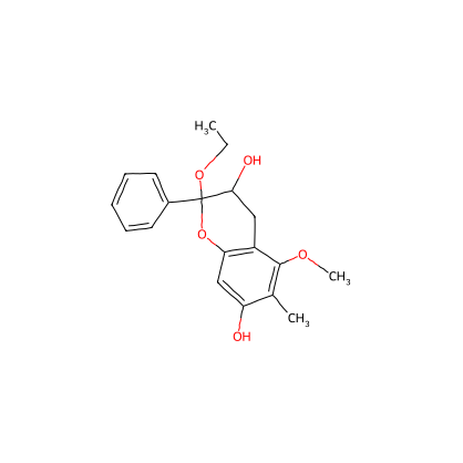 CCOC1(c2ccccc2)Oc2cc(O)c(C)c(OC)c2CC1O